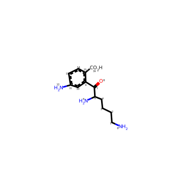 NCCCCC(N)C(=O)c1cc(N)ccc1C(=O)O